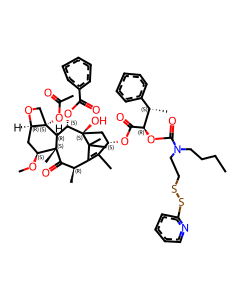 CCCCN(CCSSc1ccccn1)C(=O)O[C@@H](C(=O)O[C@H]1C[C@@]2(O)[C@@H](OC(=O)c3ccccc3)[C@@H]3[C@]4(OC(C)=O)CO[C@@H]4C[C@H](OC)[C@@]3(C)C(=O)[C@H](C)C(=C1C)C2(C)C)[C@@H](C)c1ccccc1